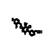 Cc1nc(OCc2ccc(F)cc2F)c(Br)c(=O)n1-c1cccc(CO)c1